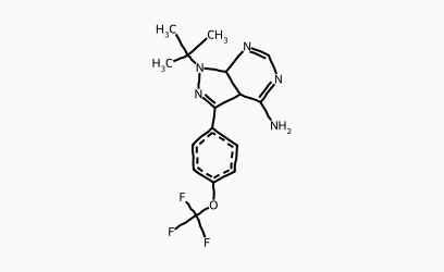 CC(C)(C)N1N=C(c2ccc(OC(F)(F)F)cc2)C2C(N)=NC=NC21